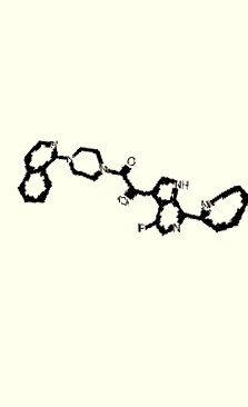 O=C(C(=O)N1CCN(c2nccc3ccccc23)CC1)c1c[nH]c2c(-c3ccccn3)ncc(F)c12